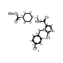 CCc1ncc(C(=O)NC[C@H]2CC[C@H](C(=O)OC)CC2)n1Cc1ccc(C(F)(F)F)cc1